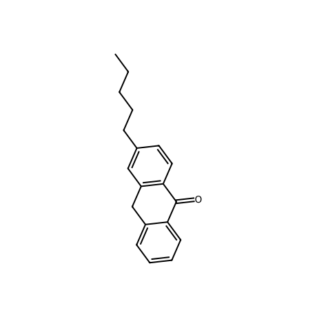 CCCCCc1ccc2c(c1)Cc1ccccc1C2=O